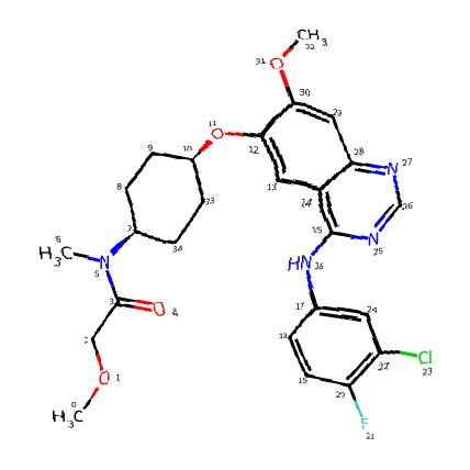 COCC(=O)N(C)[C@H]1CC[C@@H](Oc2cc3c(Nc4ccc(F)c(Cl)c4)ncnc3cc2OC)CC1